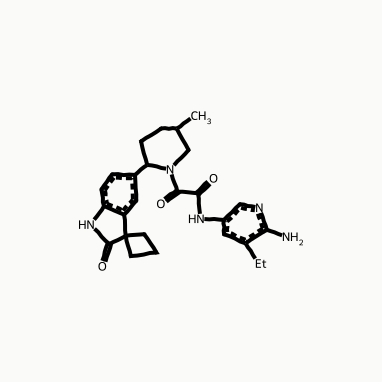 CCc1cc(NC(=O)C(=O)N2CC(C)CCC2c2ccc3c(c2)C2(CCC2)C(=O)N3)cnc1N